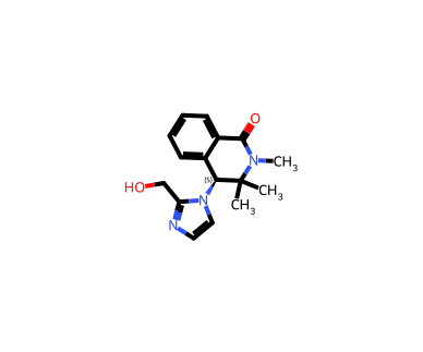 CN1C(=O)c2ccccc2[C@H](n2ccnc2CO)C1(C)C